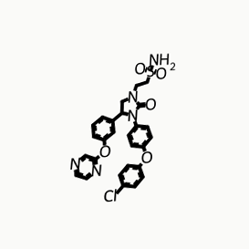 NS(=O)(=O)CCN1CC(c2cccc(Oc3cnccn3)c2)N(c2ccc(Oc3ccc(Cl)cc3)cc2)C1=O